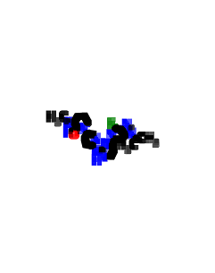 CNC1CCCN(c2ccc(Nc3nccc(-c4cc5c(ncn5C(C)C)c(F)n4)n3)nc2)C1=O